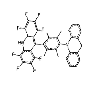 Cc1c(C)c(N2c3ccccc3Cc3ccccc32)c(C)c(C)c1C1=C2C(F)=C(F)C(F)=C(F)C2Nc2c(F)c(F)c(F)c(F)c21